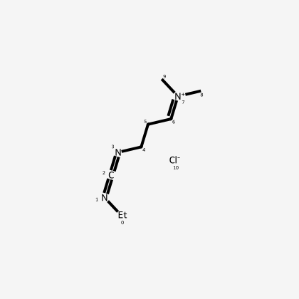 CCN=C=NCCC=[N+](C)C.[Cl-]